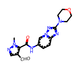 Cn1ncc(C=O)c1C(=O)Nc1ccc2nc(N3CCOCC3)nn2c1